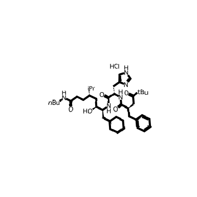 CCCCNC(=O)CC[C@@H](C[C@H](O)[C@H](CC1CCCCC1)NC(=O)[C@H](Cc1c[nH]cn1)NC(=O)[C@@H](CC(=O)C(C)(C)C)Cc1ccccc1)C(C)C.Cl